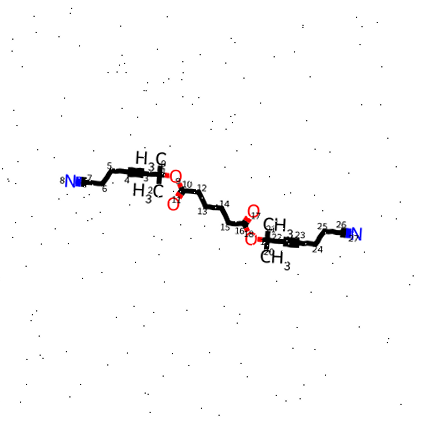 CC(C)(C#CCCC#N)OC(=O)CCCCC(=O)OC(C)(C)C#CCCC#N